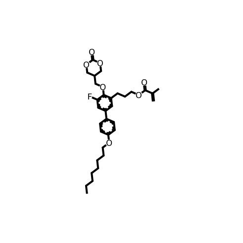 C=C(C)C(=O)OCCCc1cc(-c2ccc(OCCCCCCCC)cc2)cc(F)c1OCC1COC(=O)OC1